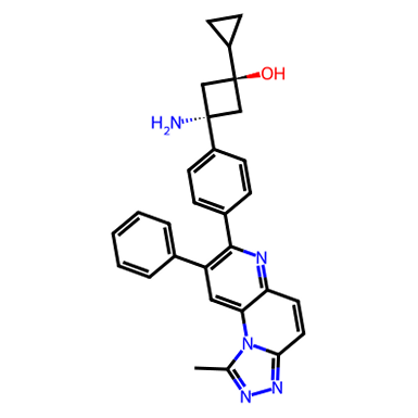 Cc1nnc2ccc3nc(-c4ccc([C@]5(N)C[C@@](O)(C6CC6)C5)cc4)c(-c4ccccc4)cc3n12